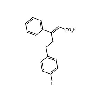 O=C(O)/C=C(\CCc1ccc(F)cc1)c1ccccc1